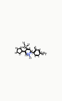 Cc1cc(C(C)C)ccc1-c1cc([Si](C)(C)C)c(C2CCCC2)c[n+]1C